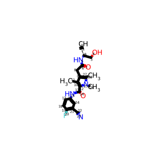 C#C[C@H](CO)NC(=O)Cc1c(C)c(C(=O)Nc2ccc(F)c(C#N)c2)n(C)c1C